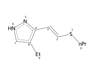 CCCSC=Cc1n[nH]cc1CC